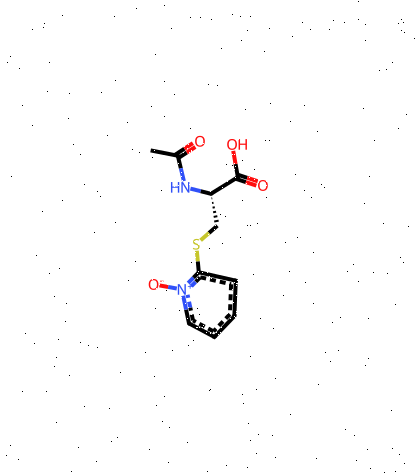 CC(=O)N[C@@H](CSc1cccc[n+]1[O-])C(=O)O